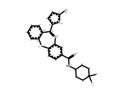 O=C(NC1CCC(F)(F)CC1)c1ccc2c(c1)N=C(c1ccc(Cl)s1)c1ccccc1S2